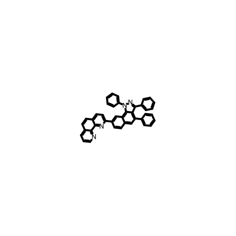 c1ccc(-c2cc3ccc(-c4ccc5ccc6cccnc6c5n4)cc3c3c2c(-c2ccccc2)nn3-c2ccccc2)cc1